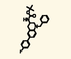 CC(C)(C)OC(=O)NC1Cc2cc(-c3ccc(F)cc3)ccc2N(Cc2ccccc2)C1